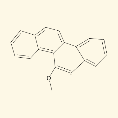 COc1[c]c2ccccc2c2ccc3ccccc3c12